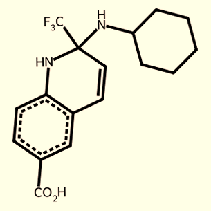 O=C(O)c1ccc2c(c1)C=CC(NC1CCCCC1)(C(F)(F)F)N2